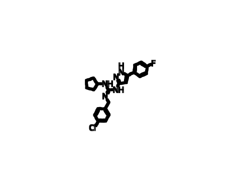 Fc1ccc(-c2cc(N/C(=N\Cc3ccc(Cl)cc3)NC3CCCC3)n[nH]2)cc1